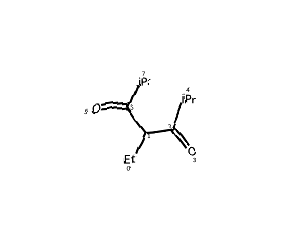 CCC(C(=O)C(C)C)C(=O)C(C)C